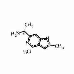 C[C@@H](N)c1cc2nn(C)cc2cn1.Cl